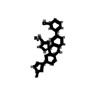 Cn1cc(-c2cc3c(cn2)Oc2ccc(-c4cccc(Cl)c4)cc2[C@@]32COC(N)=N2)cn1